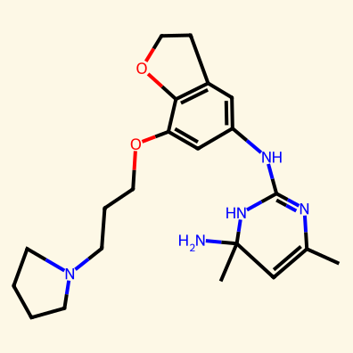 CC1=CC(C)(N)NC(Nc2cc3c(c(OCCCN4CCCC4)c2)OCC3)=N1